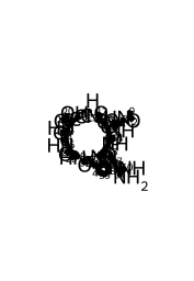 CC(=O)NCC(=O)NC1CCC(=O)NCCCC(C(=O)O)NC(=O)CNC(=O)C(C)NC(=O)C(Cc2ccccc2)NC(=O)[C@H](CCCNC(=N)N)NC1=O